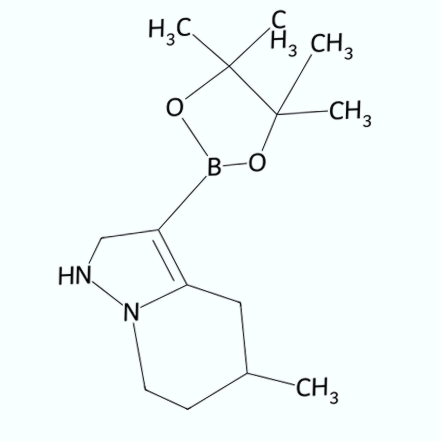 CC1CCN2NCC(B3OC(C)(C)C(C)(C)O3)=C2C1